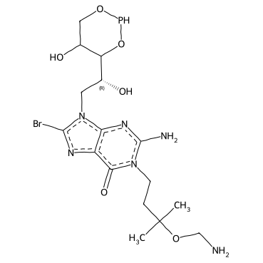 CC(C)(CCn1c(N)nc2c(nc(Br)n2C[C@@H](O)C2OPOCC2O)c1=O)OCN